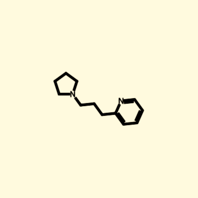 c1ccc(CCCN2CCCC2)nc1